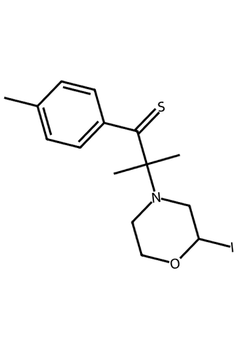 Cc1ccc(C(=S)C(C)(C)N2CCOC(I)C2)cc1